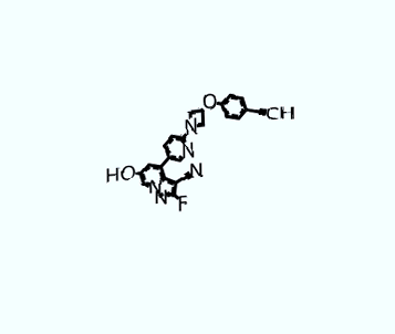 C#Cc1ccc(OC2CN(c3ccc(-c4cc(O)cn5nc(F)c(C#N)c45)cn3)C2)cc1